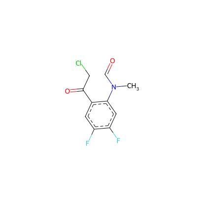 CN(C=O)c1cc(F)c(F)cc1C(=O)CCl